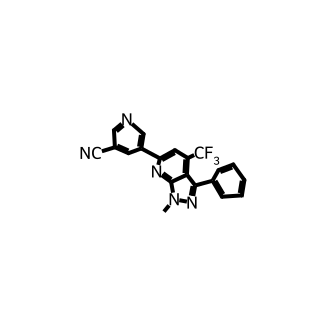 Cn1nc(-c2ccccc2)c2c(C(F)(F)F)cc(-c3cncc(C#N)c3)nc21